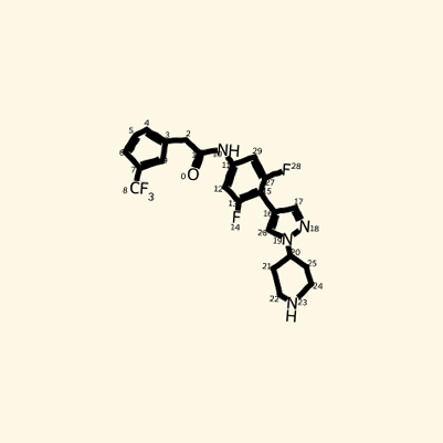 O=C(Cc1cccc(C(F)(F)F)c1)Nc1cc(F)c(-c2cnn(C3CCNCC3)c2)c(F)c1